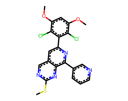 COc1cc(OC)c(Cl)c(-c2cc3cnc(SC)nc3c(-c3cccnc3)n2)c1Cl